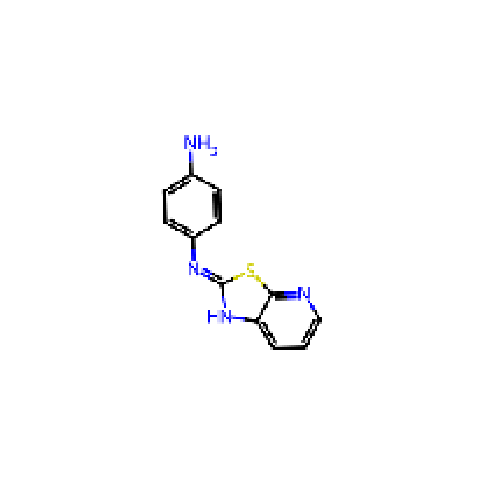 Nc1ccc(N=c2[nH]c3cccnc3s2)cc1